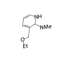 CCOCC1=CC=CN[C]1NC